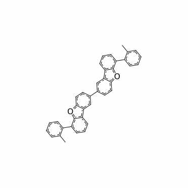 Cc1ccccc1-c1cccc2c1oc1ccc(-c3ccc4oc5c(-c6ccccc6C)cccc5c4c3)cc12